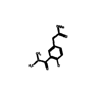 COC(=O)Cc1ccc(Cl)c(C(=O)N(C)C)c1